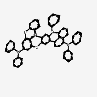 c1ccc(N(c2ccccc2)c2cc3c4c(c2)Oc2cc5c(cc2B4c2ccccc2O3)N(c2ccccc2)c2cccc3c(N(c4ccccc4)c4ccccc4)ccc-5c23)cc1